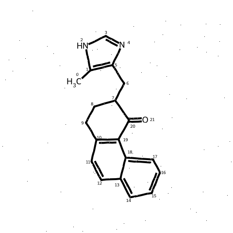 Cc1[nH]cnc1CC1CCc2ccc3ccccc3c2C1=O